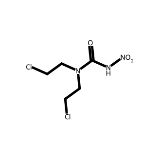 O=C(N[N+](=O)[O-])N(CCCl)CCCl